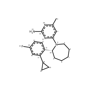 Cc1cc(N2CCCCC[C@@H]2c2ccc(F)cc2C2CC2)nc(N)n1